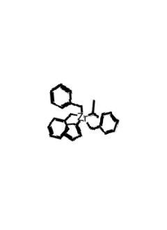 C[CH](C)[Zr]([CH2]c1ccccc1)([CH2]c1ccccc1)([CH2]c1ccccc1)[C]1=CC=CC1